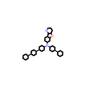 c1ccc(-c2ccc(-c3ccc(N(c4ccc(-c5ccccc5)cc4)c4ccc5c(c4)oc4cccnc45)cc3)cc2)cc1